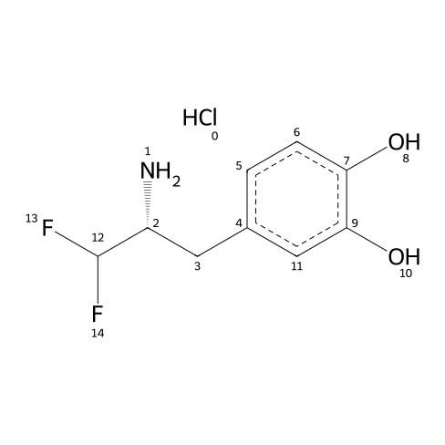 Cl.N[C@H](Cc1ccc(O)c(O)c1)C(F)F